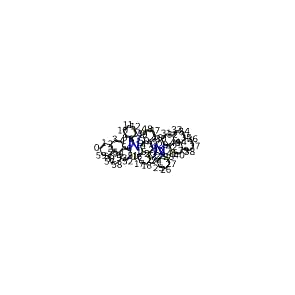 C1=Cc2ccc3c(N(c4ccccc4)c4c5ccccc5c(N(c5ccccc5)c5ccc6ccc7cccc8ccc5c6c78)c5ccccc45)ccc4c3c2C(=CC4)C1